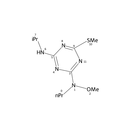 CCCN(OC)c1nc(NC(C)C)nc(SC)n1